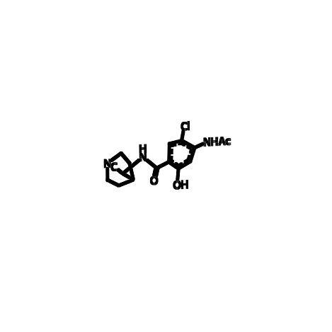 CC(=O)Nc1cc(O)c(C(=O)NC2CN3CCC2CC3)cc1Cl